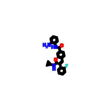 Nc1ccccc1NC(=O)c1ccc(C=C(C(=O)NC2CC2)c2ccccc2F)cc1